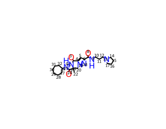 CN1C(=O)c2cc(C(=O)NCCCN3CCCC3)nn2CC1(C)C(=O)NC1CCCCCC1